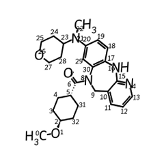 CO[C@H]1CC[C@H](C(=O)N2Cc3cccnc3Nc3ccc(N(C)C4CCOCC4)cc32)CC1